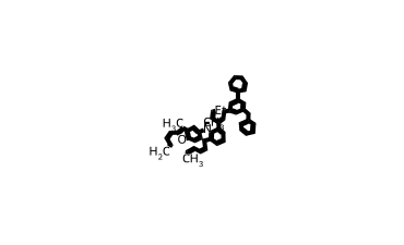 C=C/C=C\c1oc2ccc(N(C)c3c(C/C=C\C=C/C)cccc3C(/C=C\CC)=C/Cc3cc(Cc4ccccc4)cc(C4=CCCCC=C4)c3)cc2c1C